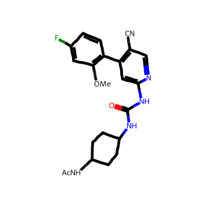 COc1cc(F)ccc1-c1cc(NC(=O)NC2CCC(NC(C)=O)CC2)ncc1C#N